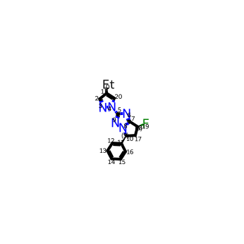 CCc1cnn(-c2nc3n(n2)[C@H](c2ccccc2)C[C@@H]3F)c1